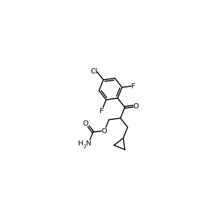 NC(=O)OCC(CC1CC1)C(=O)c1c(F)cc(Cl)cc1F